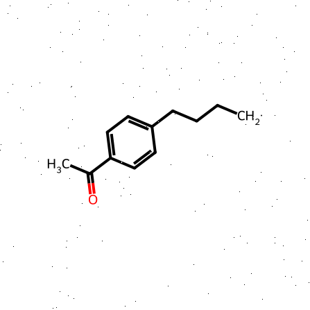 [CH2]CCCc1ccc(C(C)=O)cc1